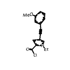 CCn1cc(C#Cc2cccc(OC)c2)cc1C(=O)Cl